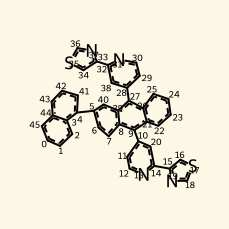 c1ccc2c(-c3ccc4c(-c5ccnc(-c6cscn6)c5)c5ccccc5c(-c5ccnc(-c6cscn6)c5)c4c3)cccc2c1